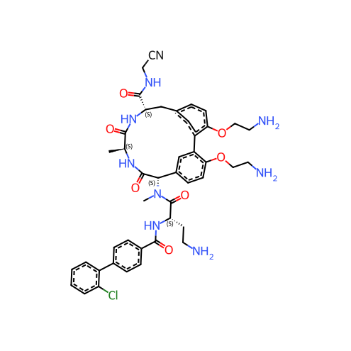 C[C@@H]1NC(=O)[C@@H](N(C)C(=O)[C@H](CCN)NC(=O)c2ccc(-c3ccccc3Cl)cc2)c2ccc(OCCN)c(c2)-c2cc(ccc2OCCN)C[C@@H](C(=O)NCC#N)NC1=O